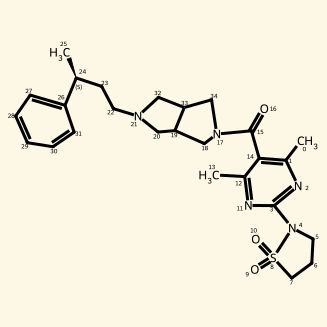 Cc1nc(N2CCCS2(=O)=O)nc(C)c1C(=O)N1CC2CN(CC[C@H](C)c3ccccc3)CC2C1